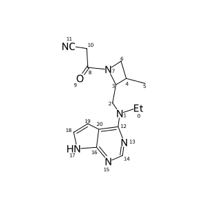 CCN(CC1C(C)CN1C(=O)CC#N)c1ncnc2[nH]ccc12